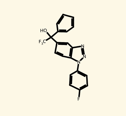 OC(c1ccccc1)(c1ccc2c(c1)nnn2-c1ccc(F)cc1)C(F)(F)F